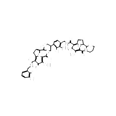 O=C(NCc1ccc(C2CO[C@@H]3[C@@H]4CCc5c(C(=O)NCc6cccc(Cl)c6F)c(=O)c(O)c(n54)C(=O)N3C2)c(Cl)c1F)c1c2n3c(c(O)c1=O)C(=O)N1CCCOC1C3CC2